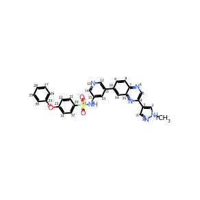 Cn1cc(-c2cnc3ccc(-c4cncc(NS(=O)(=O)c5ccc(Oc6ccccc6)cc5)c4)cc3n2)cn1